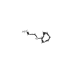 C=CCOc1cc[c]cc1